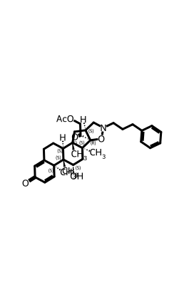 CC(=O)OCC(=O)[C@@]12ON(CCCc3ccccc3)C[C@@H]1C[C@@]1(C)[C@@H]3CCC4=CC(=O)C=C[C@]4(C)[C@@]3(C)[C@@H](O)C[C@@]12C